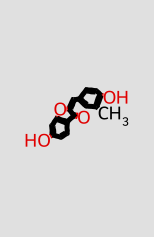 Cc1cc(C=C2Oc3cc(O)ccc3C2=O)ccc1O